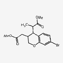 COC(=O)CC1COc2cc(Br)ccc2C1C(C)C(=O)OC